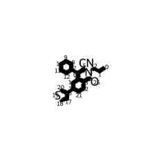 C=CCn1c(C#N)c(-c2ccccc2)c2cc(-c3ccsc3)ccc2c1=O